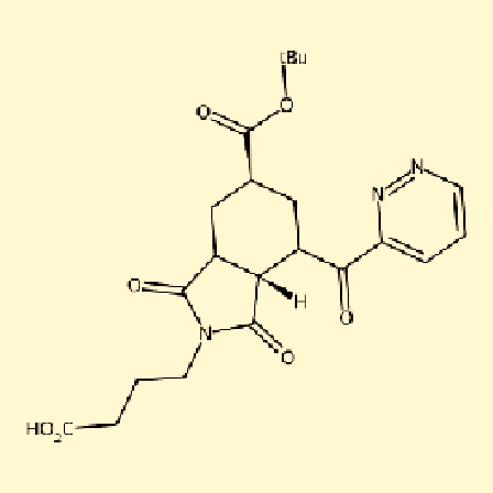 CC(C)(C)OC(=O)[C@H]1CC(C(=O)c2cccnn2)[C@@H]2C(=O)N(CCCC(=O)O)C(=O)C2C1